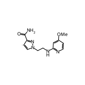 COc1ccnc(NCCn2c[c]c(C(N)=O)n2)c1